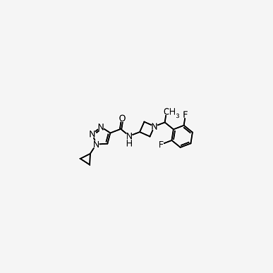 CC(c1c(F)cccc1F)N1CC(NC(=O)c2cn(C3CC3)nn2)C1